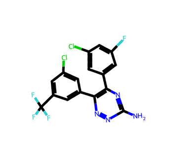 Nc1nnc(-c2cc(Cl)cc(C(F)(F)F)c2)c(-c2cc(F)cc(Cl)c2)n1